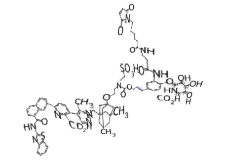 Cc1c(-c2ccc(-c3ccc4cccc(C(=O)Nc5nc6ccccc6s5)c4c3)nc2C(=O)O)cnn1CC12CC3(C)CC(C)(C1)CC(OCCN(CCS(=O)(=O)O)C(=O)OC/C=C/c1ccc(O[C@@H]4N[C@H](C(=O)O)[C@@H](O)[C@H](O)[C@H]4O)c(NC(=O)CCNC(=O)CCCCCN4C(=O)C=CC4=O)c1)(C3)C2